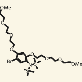 COCCOCCOCCOc1cc(OCCOCCOCCOC)c(N([Si](C)(C)C)[Si](C)(C)C)cc1Br